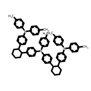 Cc1ccc(N(c2ccc(C)cc2)c2ccc(C3CCCCC3c3ccc(N(c4ccc(C)cc4)c4ccc(C5CCCCC5c5ccc(N(c6ccc(C)cc6)c6ccc(C)cc6)cc5)cc4)cc3)cc2)cc1